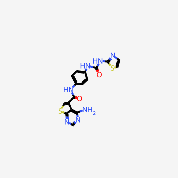 Nc1ncnc2scc(C(=O)Nc3ccc(NC(=O)Nc4nccs4)cc3)c12